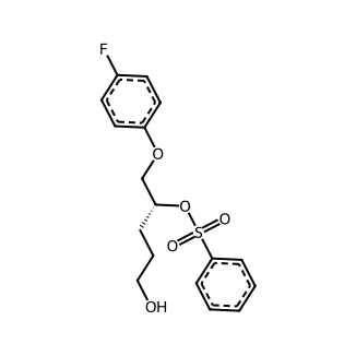 O=S(=O)(O[C@H](CCCO)COc1ccc(F)cc1)c1ccccc1